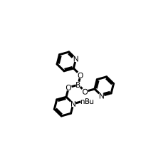 CCCCN1CC=CC=C1OB(Oc1ccccn1)Oc1ccccn1